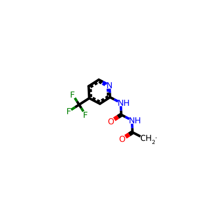 [CH2]C(=O)NC(=O)Nc1cc(C(F)(F)F)ccn1